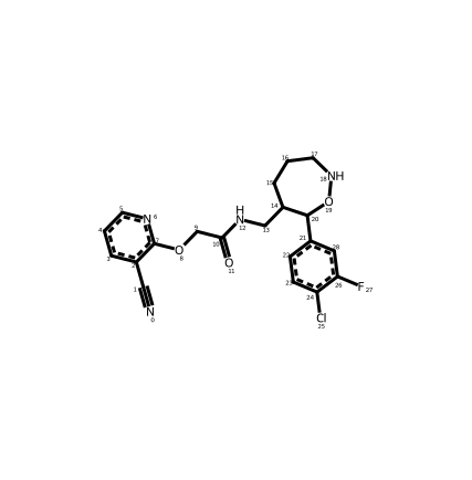 N#Cc1cccnc1OCC(=O)NCC1CCCNOC1c1ccc(Cl)c(F)c1